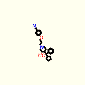 N#Cc1ccc(OCCCN2CCC(C(O)(c3ccccc3)C3CCCC3)CC2)cc1